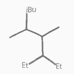 [CH2]CC(CC)C(C)C(C)C(C)CC